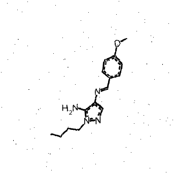 CCCCn1ncc(/N=C/c2ccc(OC)cc2)c1N